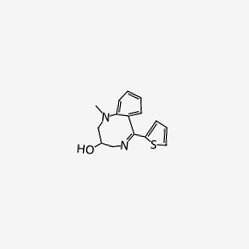 CN1CC(O)CN=C(c2cccs2)c2ccccc21